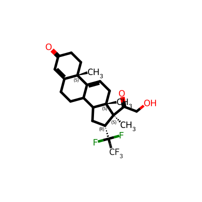 C[C@]12CCC(=O)C=C1CCC1C2=CC[C@@]2(C)C1C[C@@H](C(F)(F)C(F)(F)F)[C@]2(C)C(=O)CO